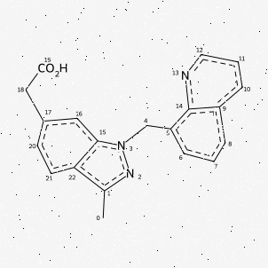 Cc1nn(Cc2cccc3cccnc23)c2cc(CC(=O)O)ccc12